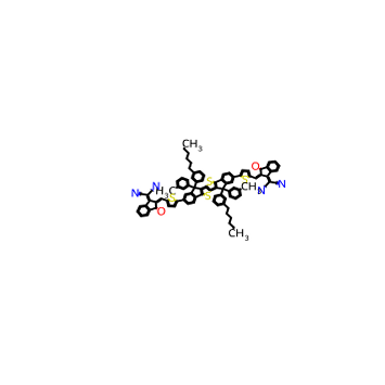 CCCCCCc1cccc(C2(c3cccc(C)c3)c3cc(-c4ccc(/C=C5\C(=O)c6ccccc6C5=C(C#N)C#N)s4)ccc3-c3sc4c5c(sc4c32)-c2ccc(-c3ccc(/C=C4\C(=O)c6ccccc6C4=C(C#N)C#N)s3)cc2C5(c2cccc(C)c2)c2cccc(CCCCCC)c2)c1